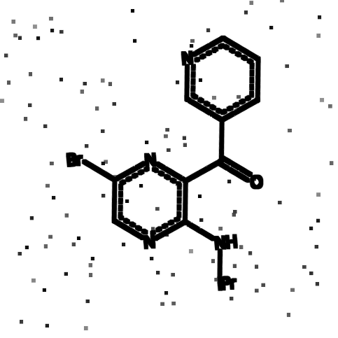 CC(C)Nc1ncc(Br)nc1C(=O)c1cccnc1